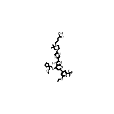 CCOc1cc(-c2cc(N(C)CC3(COC)CCCC3)c3[nH]c(-c4cnc(N5CCN(CCCC(=O)O)C(C)(C)C5)cn4)nc3n2)cc(C(F)(F)F)n1